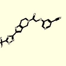 N#Cc1cncc(OCC(=O)N2CCc3sc(-c4noc(C(F)(F)F)n4)cc3C2)c1